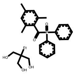 CCC(CO)(CO)CO.Cc1cc(C)c(C(=O)P(=O)(c2ccccc2)c2ccccc2)c(C)c1